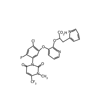 Cn1c(C(F)(F)F)cc(=O)n(-c2cc(Oc3cccnc3OC(Cc3ccccn3)C(=O)O)c(Cl)cc2F)c1=O